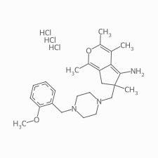 COc1ccccc1CN1CCN(CC2(C)CC3=C(C)OC(C)=C(C)C3=C2N)CC1.Cl.Cl.Cl